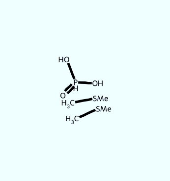 CSC.CSC.O=[PH](O)O